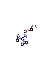 C=Cc1cccc(COc2cccc(-c3nnc(-c4cc(-n5c6ccccc6c6ccccc65)cc(-n5c6ccccc6c6ccccc65)c4)o3)c2)c1